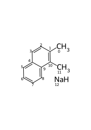 Cc1ccc2ccccc2c1C.[NaH]